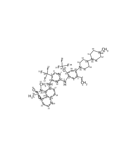 C=Cc1cc(Nc2ncc(C(F)(F)F)c(Nc3ccc4nccnc4c3N(C)S(C)(=O)=O)n2)c(OC(F)(F)F)cc1N1CCC(N2CCN(C)CC2)CC1